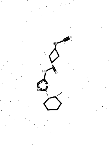 C[C@@H]1CCCC[C@@H]1c1ncc(NC(=O)[C@H]2C[C@H](NC#N)C2)s1